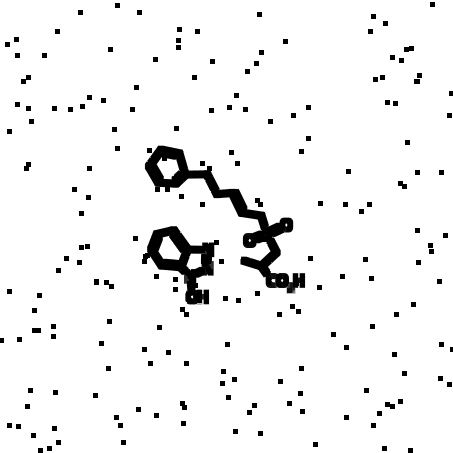 CC(CS(=O)(=O)CC=CCCc1ccccc1)C(=O)O.On1nnc2ccccc21